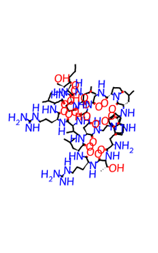 CCCC(=O)[C@H](CO)NC(=O)[C@@H]1CCCN1C(=O)[C@@H](NC(=O)[C@H](C)NC(=O)[C@@H](NC(=O)[C@H](CCCNC(=N)N)NC(=O)[C@@H](NC(=O)CNC(=O)[C@H](CO)NC(=O)[C@@H]1CCCN1C(=O)[C@H](CC(C)C)NC(=O)[C@@H]1CCCN1C(=O)CNC(=O)[C@H](CC(=O)O)NC(=O)[C@H](CC(C)C)NC(=O)[C@H](CCCNC(=N)N)NC(=O)[C@@H](NC(=O)[C@@H](N)Cc1c[nH]c2ccccc12)[C@@H](C)O)C(C)C)C(C)C)C(C)C